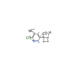 N#Cc1cc(C2(C(=O)O)CCC2)cnc1Cl